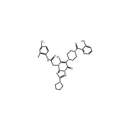 CCc1c(N2CCN(C(=O)c3ncccc3O)CC2)c(=O)n2nc(N3CCCC3)nc2n1CC(=O)Nc1ccc(C(F)(F)F)cc1C